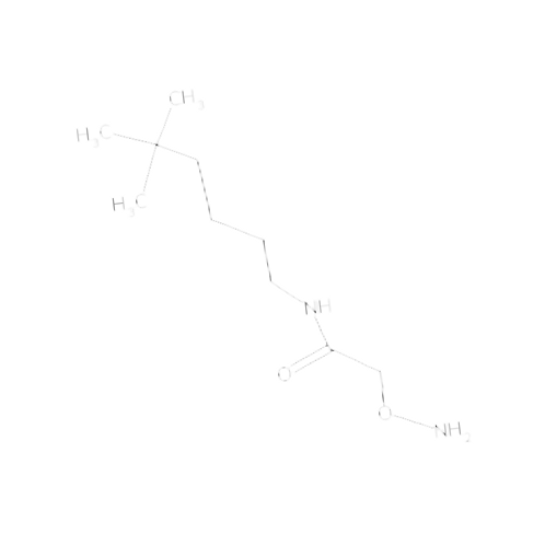 CC(C)(C)CCCCNC(=O)CON